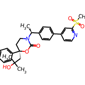 C[C@@H](c1ccc(-c2ccnc(S(C)(=O)=O)c2)cc1)N1CC[C@](CC(C)(C)O)(c2ccccc2)OC1=O